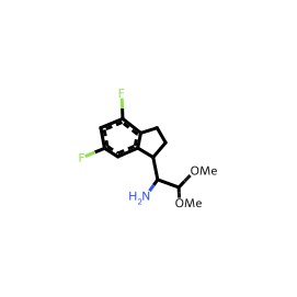 COC(OC)C(N)C1CCc2c(F)cc(F)cc21